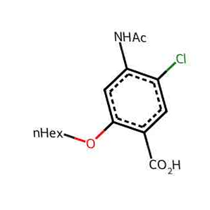 CCCCCCOc1cc(NC(C)=O)c(Cl)cc1C(=O)O